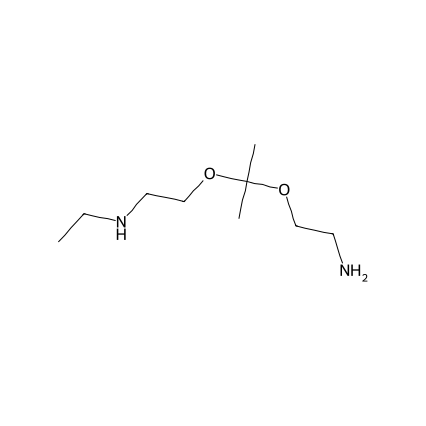 CCNCCOC(C)(C)OCCN